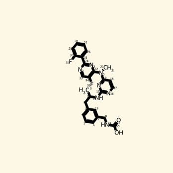 CC(Cc1cccc(CNC(=O)O)c1)Nc1nccc(N(C)c2nc(-c3ccccc3F)ncc2F)n1